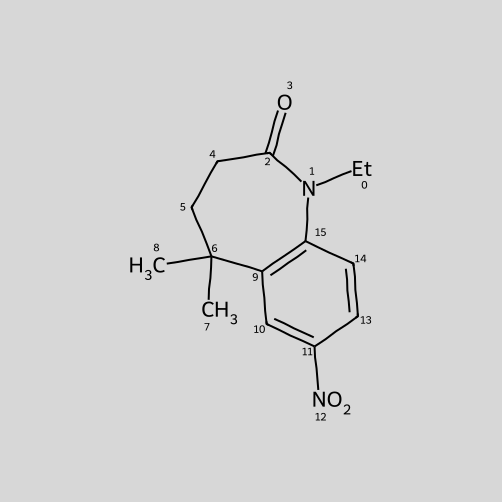 CCN1C(=O)CCC(C)(C)c2cc([N+](=O)[O-])ccc21